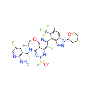 Cc1cc2c(cnn2C2CCCCO2)c(-c2nc3c4c(nc([S+](C)[O-])nc4c2F)N([C@H](C)c2cc(F)cnc2N)[C@@H](C)CO3)c1C(F)(F)F